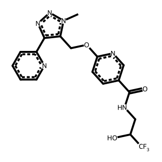 Cn1nnc(-c2ccccn2)c1COc1ccc(C(=O)NCC(O)C(F)(F)F)cn1